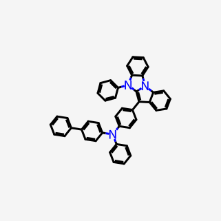 c1ccc(-c2ccc(N(c3ccccc3)c3ccc(-c4c5ccccc5n5c6ccccc6n(-c6ccccc6)c45)cc3)cc2)cc1